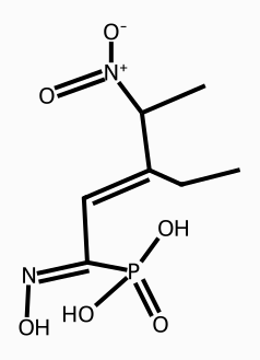 CC/C(=C\C(=NO)P(=O)(O)O)C(C)[N+](=O)[O-]